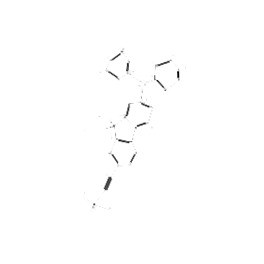 CCCCCCCCC1(CCCCCCCC)c2cc(C#CC(C)(C)O)ccc2-c2ccc(N(c3ccccc3)c3ccccc3)cc21